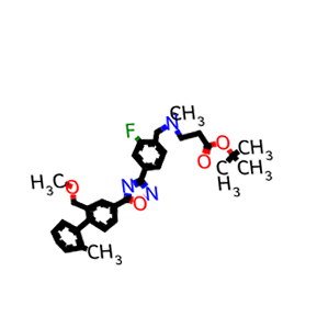 COCc1cc(-c2nc(-c3ccc(CN(C)CCC(=O)OC(C)(C)C)c(F)c3)no2)ccc1-c1ccccc1C